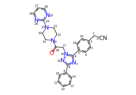 N#CCc1ccc(-c2nc(-c3ccccc3)nn2CC(=O)N2CCN(c3ncccn3)CC2)cc1